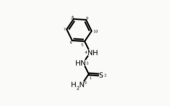 NC(=S)NNc1cc[c]cc1